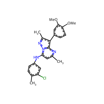 COc1ccc(-c2c(C)nn3c(Nc4ccc(C)c(Cl)c4)cc(C)nc23)cc1OC